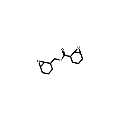 O=C(OCC1CCCC2OC12)C1CCCC2OC21